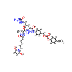 CC(C)[C@H](NC(=O)CCCCCN1C(=O)C=CC1=O)C(=O)NC(CCCNC(N)=O)C(=O)Nc1ccc(COC(=O)Oc2ccc([N+](=O)[O-])cc2)cc1